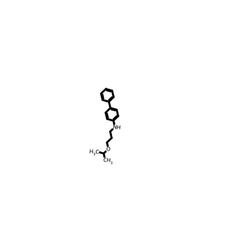 CC(C)OCCCNc1ccc(-c2cc[c]cc2)cc1